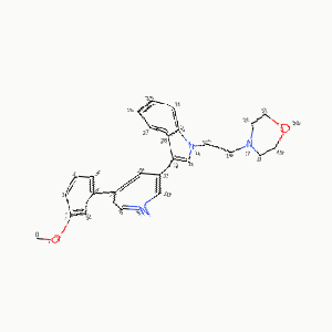 COc1cccc(-c2cncc(-c3cn(CCN4CCOCC4)c4ccccc34)c2)c1